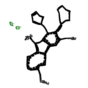 CC(C)(C)c1ccc2c(c1)=c1cc(C(C)(C)C)c(=C3CCCC3)c(C3=CC=CC3)c1[C]=2[Zr+2].[Cl-].[Cl-]